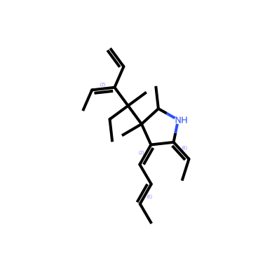 C=C/C(=C/C)C(C)(CC)C1(C)C(=C/C=C/C)/C(=C\C)NC1C